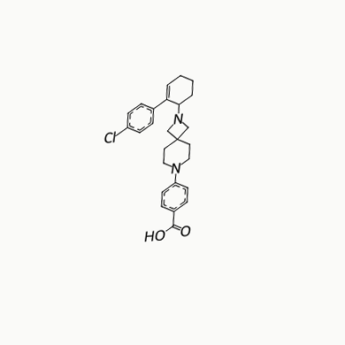 O=C(O)c1ccc(N2CCC3(CC2)CN(C2CCCC=C2c2ccc(Cl)cc2)C3)cc1